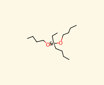 CCCC[O][Sn]([CH2]C)([CH2]CCC)[O]CCCC